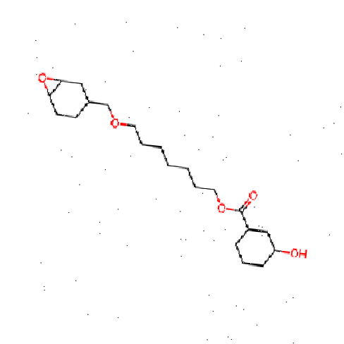 O=C(OCCCCCCCOCC1CCC2OC2C1)C1CCCC(O)C1